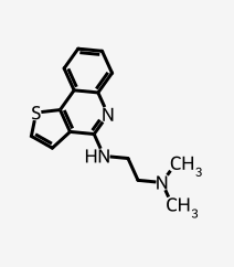 CN(C)CCNc1nc2ccccc2c2sccc12